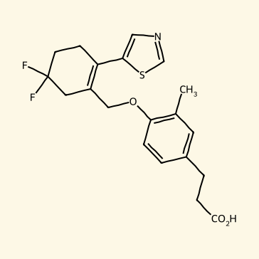 Cc1cc(CCC(=O)O)ccc1OCC1=C(c2cncs2)CCC(F)(F)C1